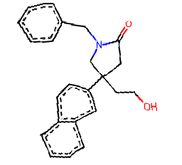 O=C1CC(CCO)(c2ccc3ccccc3c2)CN1Cc1ccccc1